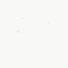 CC(C)C1(C)C=COC1